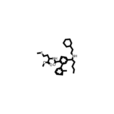 CCCCC(NCCC1CCCCC1)c1ccc(C(=O)NC(CCSC)C(=O)OC)c(-c2ccccc2C)c1